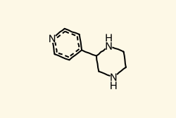 c1cc(C2CNCCN2)ccn1